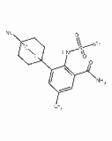 CCCS(=O)(=O)Nc1c(C(N)=O)cc(C(F)(F)F)cc1C12CCC(C#N)(CC1)CC2